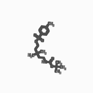 Cc1ccc(S(=O)(=O)OCCC(C)(C)CCNC(=O)OC(C)(C)C)cc1